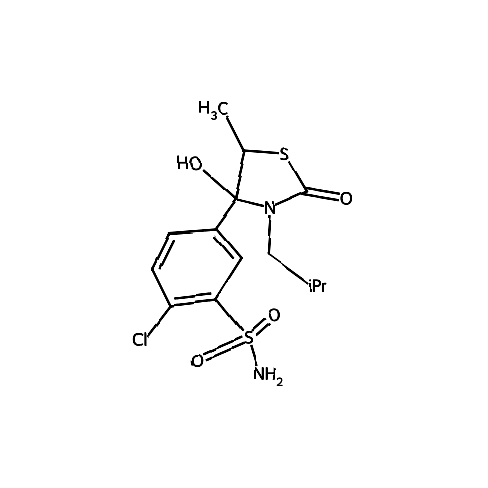 CC(C)CN1C(=O)SC(C)C1(O)c1ccc(Cl)c(S(N)(=O)=O)c1